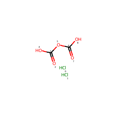 Cl.Cl.O=C(O)OC(=O)O